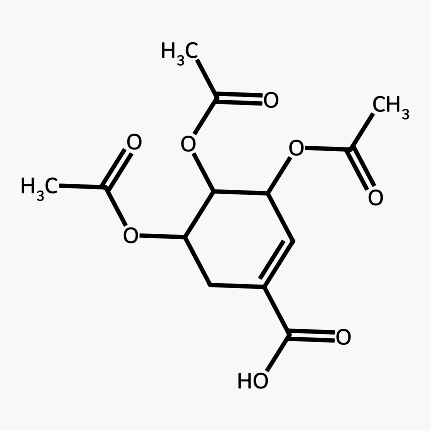 CC(=O)OC1C=C(C(=O)O)CC(OC(C)=O)C1OC(C)=O